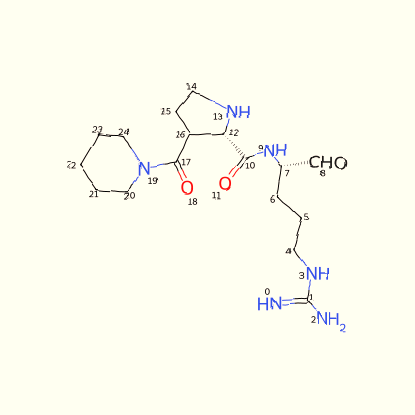 N=C(N)NCCC[C@@H](C=O)NC(=O)[C@H]1NCCC1C(=O)N1CCCCC1